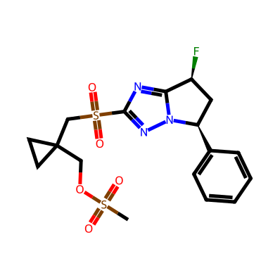 CS(=O)(=O)OCC1(CS(=O)(=O)c2nc3n(n2)[C@H](c2ccccc2)C[C@@H]3F)CC1